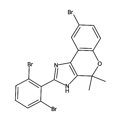 CC1(C)Oc2ccc(Br)cc2-c2nc(-c3c(Br)cccc3Br)[nH]c21